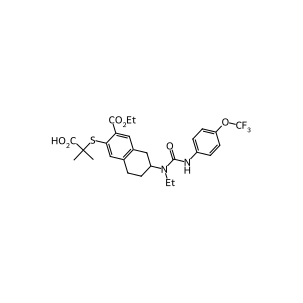 CCOC(=O)c1cc2c(cc1SC(C)(C)C(=O)O)CCC(N(CC)C(=O)Nc1ccc(OC(F)(F)F)cc1)C2